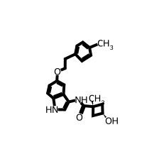 Cc1ccc(CCOc2ccc3[nH]cc(NC(=O)[C@]4(C)C[C@@H](O)C4)c3c2)cc1